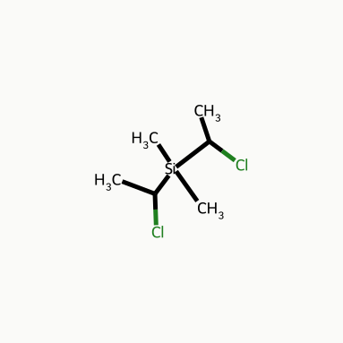 CC(Cl)[Si](C)(C)C(C)Cl